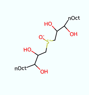 CCCCCCCCC(O)C(O)C[S+]([O-])CC(O)C(O)CCCCCCCC